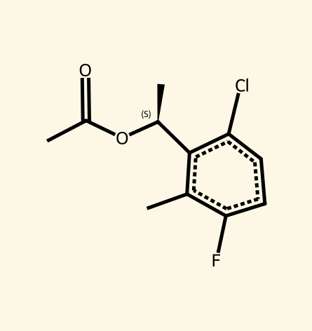 CC(=O)O[C@@H](C)c1c(Cl)ccc(F)c1C